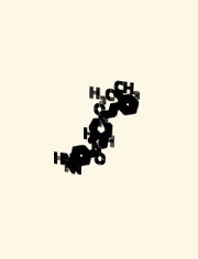 CC(C)c1ccccc1C=CC(=O)N1CC[C@@H]2CN(C(=O)c3ccc4[nH]nnc4c3)C[C@@H]2CC1